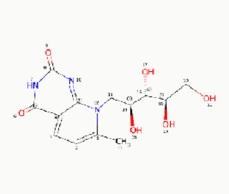 Cc1ccc2c(=O)[nH]c(=O)nc-2n1C[C@H](O)[C@H](O)[C@H](O)CO